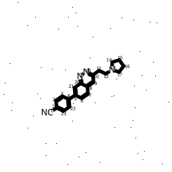 N#Cc1ccc(-c2ccc3cc(CCN4CCCC4)nnc3c2)cc1